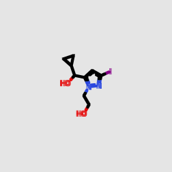 OCCn1nc(I)cc1C(O)C1CC1